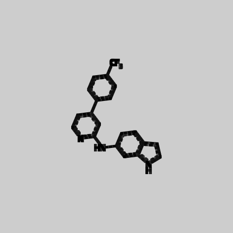 FC(F)(F)c1ccc(-c2ccnc(Nc3ccc4cc[nH]c4c3)c2)cc1